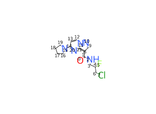 O=C(NCC(F)CCl)c1cnn2ccc(N3CCCC3)nc12